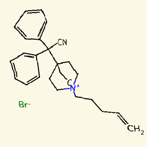 C=CCCC[N+]12CCC(C(C#N)(c3ccccc3)c3ccccc3)(CC1)CC2.[Br-]